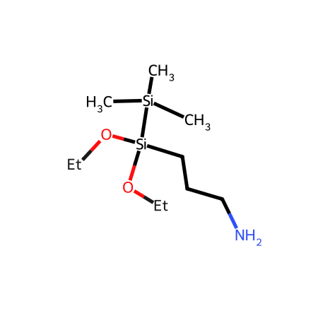 CCO[Si](CCCN)(OCC)[Si](C)(C)C